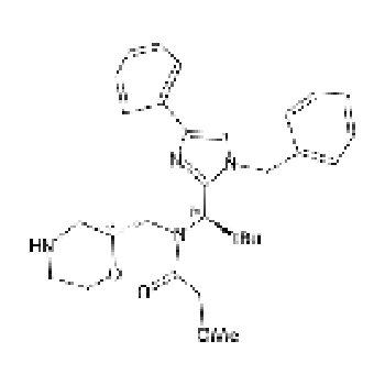 COCC(=O)N(C[C@H]1CNCCO1)[C@@H](c1nc(-c2ccccc2)cn1Cc1ccccc1)C(C)(C)C